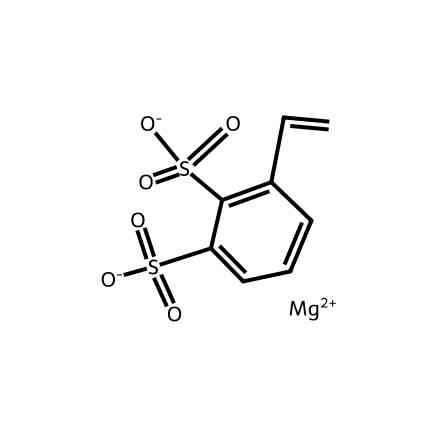 C=Cc1cccc(S(=O)(=O)[O-])c1S(=O)(=O)[O-].[Mg+2]